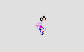 N=C1N[C@H]2[C@H](CN3C(=O)CCC3=O)NC(=N)N3CC(NC(=O)c4cccc5c4OCCC54CC4)C(O)(O)C23N1